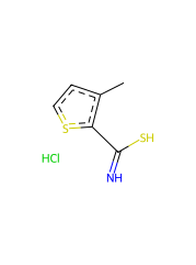 Cc1ccsc1C(=N)S.Cl